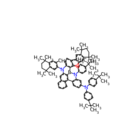 Cc1cc2c(cc1N1c3cc4ccccc4c4c3B(c3c1ccc1c3oc3cc5c(cc31)C(C)(C)CCC5(C)C)N(c1ccc(C(C)(C)C)cc1)c1cc(N(c3ccc(C(C)(C)C)cc3)c3ccc(C(C)(C)C)cc3)ccc1-4)C(C)(C)CCC2(C)C